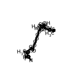 COc1cc(/C=C2\SC(=O)N(CCOCCOCCOCCOCCOCC(=O)N[C@H](C(=O)N3C[C@H](O)CC3C(=O)NCc3ccc(-c4sccc4C)cc3)C(C)(C)C)C2=O)ccc1Oc1ccc(C#N)cc1C(F)(F)F